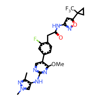 COc1nc(Nc2cn(C)nc2C)ncc1-c1ccc(CC(=O)Nc2cc(C3(C(F)(F)F)CC3)on2)c(F)c1